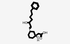 O=C(O)C[C@]1(O)CCC[C@H](C=CC(O)CCCCc2ccccc2)C1